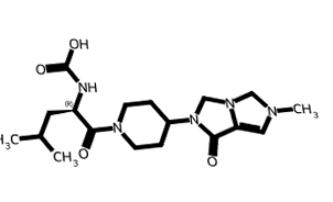 CC(C)C[C@@H](NC(=O)O)C(=O)N1CCC(N2CN3CN(C)C=C3C2=O)CC1